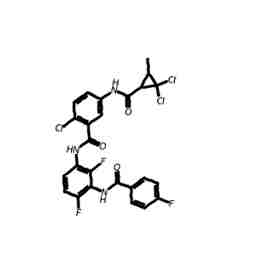 CC1C(C(=O)Nc2ccc(Cl)c(C(=O)Nc3ccc(F)c(NC(=O)c4ccc(F)cc4)c3F)c2)C1(Cl)Cl